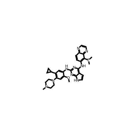 COc1cc(N2CCN(C)CC2)c(C2CC2)cc1Nc1nc(Nc2ccc3nccnc3c2P(C)C)c2cc[nH]c2n1